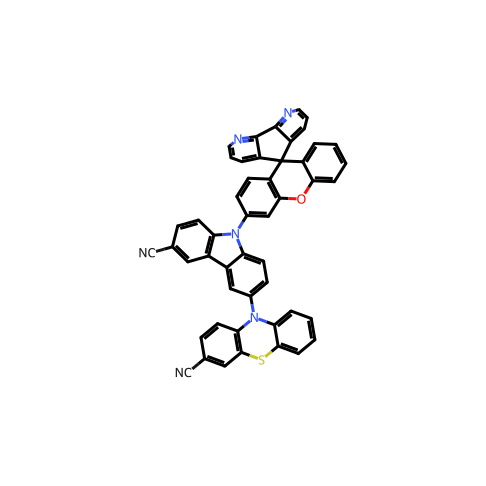 N#Cc1ccc2c(c1)Sc1ccccc1N2c1ccc2c(c1)c1cc(C#N)ccc1n2-c1ccc2c(c1)Oc1ccccc1C21c2cccnc2-c2ncccc21